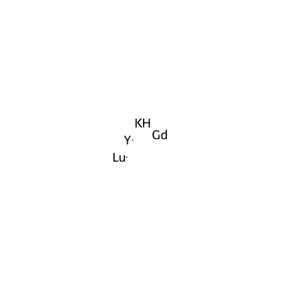 [Gd].[KH].[Lu].[Y]